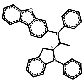 CC([C@@H]1Cc2ccccc2N1c1ccccc1)N(c1ccccc1)c1ccc2c(c1)oc1ccccc12